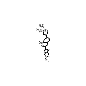 Cc1cn2cc(-c3cc4ccc(N5CCN(C)[C@@H](C)C5)cc4c(=O)o3)nc2cn1